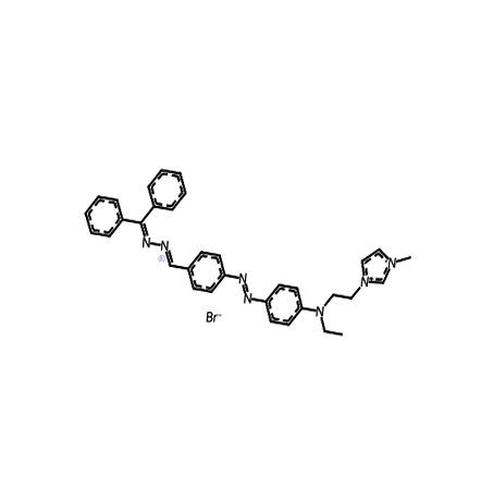 CCN(CC[n+]1ccn(C)c1)c1ccc(N=Nc2ccc(/C=N/N=C(c3ccccc3)c3ccccc3)cc2)cc1.[Br-]